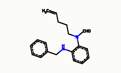 C=CCCCN(C=O)c1ccccc1NCc1ccccc1